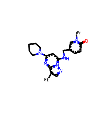 CCc1cnn2c(NCc3ccc(=O)n(C(C)C)c3)cc(N3CCCCC3)nc12